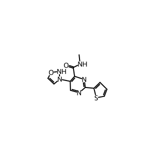 CNC(=O)c1nc(-c2cccs2)ncc1N1C=CON1